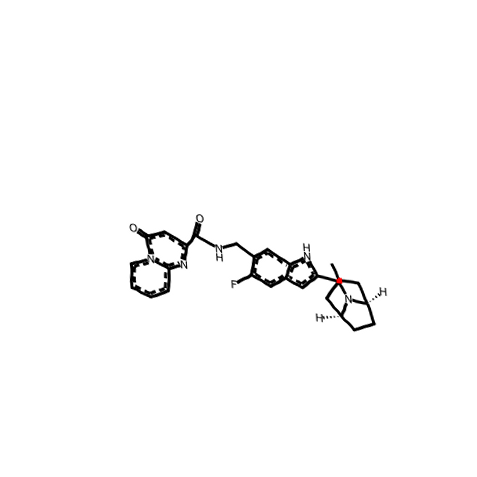 CC1C[C@H]2CC[C@@H](C1)N2Cc1cc2cc(F)c(CNC(=O)c3cc(=O)n4ccccc4n3)cc2[nH]1